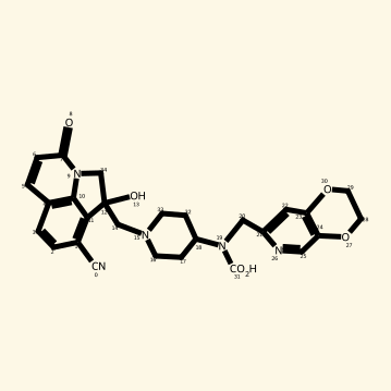 N#Cc1ccc2ccc(=O)n3c2c1C(O)(CN1CCC(N(Cc2cc4c(cn2)OCCO4)C(=O)O)CC1)C3